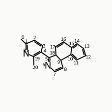 Cc1ccc(C2=NC=CC3c4ccccc4C=CC23)c(C)n1